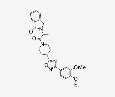 CCOc1ccc(-c2noc(C3CCN(C(=O)C(C)N4Cc5ccccc5C4=O)CC3)n2)cc1OC